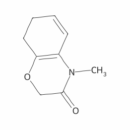 CN1C(=O)COC2=C1C=CCC2